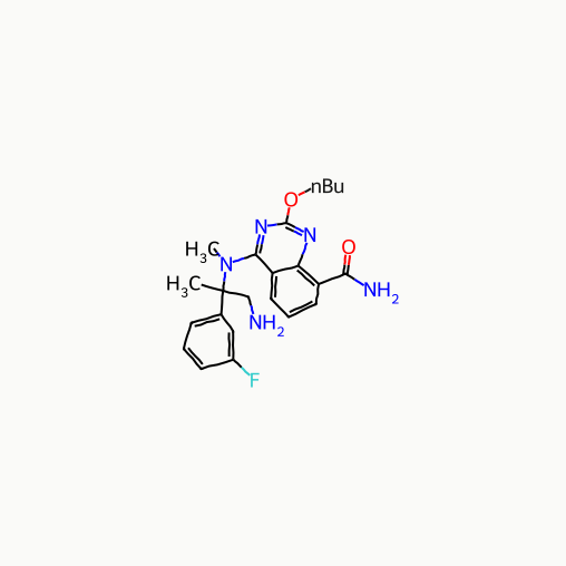 CCCCOc1nc(N(C)C(C)(CN)c2cccc(F)c2)c2cccc(C(N)=O)c2n1